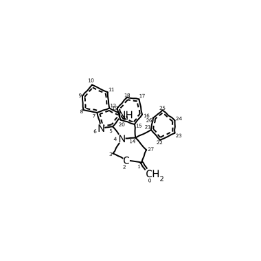 C=C1CCN(c2nc3ccccc3[nH]2)C(c2ccccc2)(c2ccccc2)C1